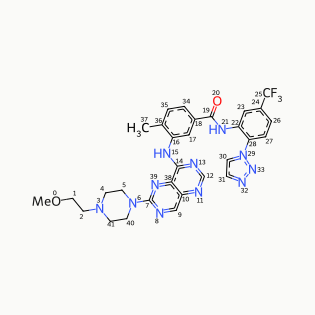 COCCN1CCN(c2ncc3ncnc(Nc4cc(C(=O)Nc5cc(C(F)(F)F)ccc5-n5ccnn5)ccc4C)c3n2)CC1